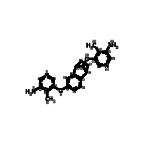 Cc1c(N)cncc1Oc1ccc2c(c1)C1CCC2C1Oc1cncc(N)c1C